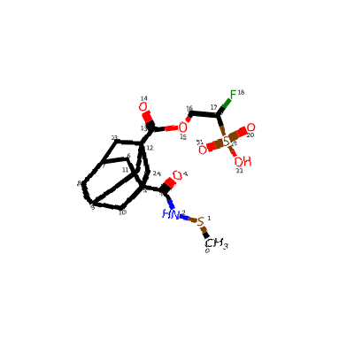 CSNC(=O)C12CC3CC(C1)CC(C(=O)OCC(F)S(=O)(=O)O)(C3)C2